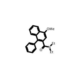 CCN(CC)C(=O)c1cc(OC)c2ccccc2c1-c1ccccc1